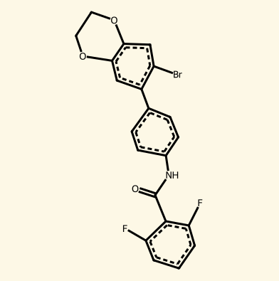 O=C(Nc1ccc(-c2cc3c(cc2Br)OCCO3)cc1)c1c(F)cccc1F